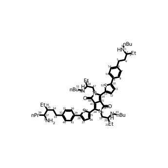 CCCCNC(CC)CCc1ccc(-c2ccc(C3=C4C(=O)N(CC(CC)NCCCC)C(c5ccc(-c6ccc(CCC(CC)C(N)CCC)cc6)s5)=C4C(=O)N3CC(CC)NCCCC)s2)cc1